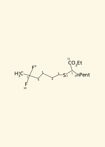 CCCCCC(SCCCCC(C)(F)F)C(=O)OCC